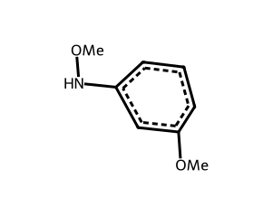 CONc1cccc(OC)c1